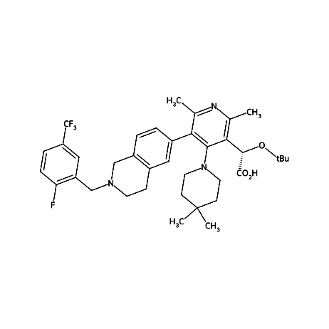 Cc1nc(C)c([C@H](OC(C)(C)C)C(=O)O)c(N2CCC(C)(C)CC2)c1-c1ccc2c(c1)CCN(Cc1cc(C(F)(F)F)ccc1F)C2